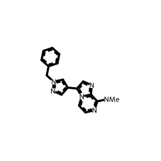 CNc1nccn2c(-c3cnn(Cc4ccccc4)c3)cnc12